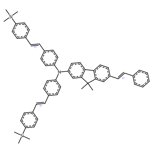 CC1(C)c2cc(/C=C/c3ccccc3)ccc2-c2ccc(N(c3ccc(/C=C/c4ccc([Si](C)(C)C)cc4)cc3)c3ccc(/C=C/c4ccc([Si](C)(C)C)cc4)cc3)cc21